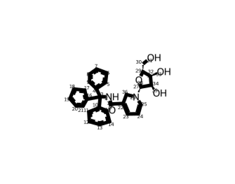 O=C(NC(c1ccccc1)(c1ccccc1)c1ccccc1)C1=CC=CN([C@@H]2O[C@H](CO)[C@@H](O)[C@H]2O)C1